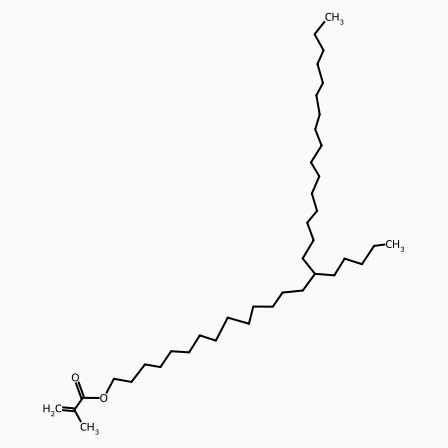 C=C(C)C(=O)OCCCCCCCCCCCCCCC(CCCCC)CCCCCCCCCCCCCCCC